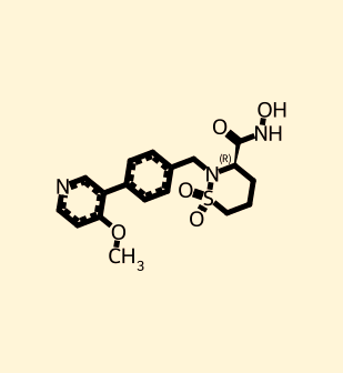 COc1ccncc1-c1ccc(CN2[C@@H](C(=O)NO)CCCS2(=O)=O)cc1